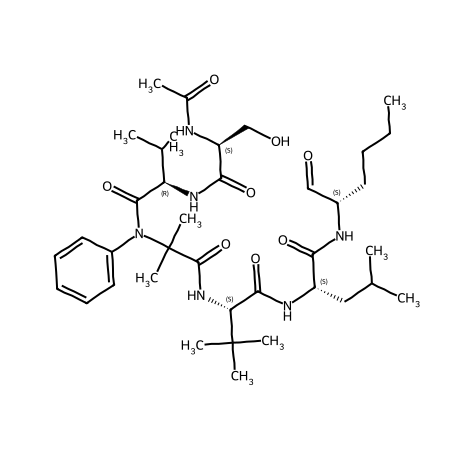 CCCC[C@@H](C=O)NC(=O)[C@H](CC(C)C)NC(=O)[C@@H](NC(=O)C(C)(C)N(C(=O)[C@H](NC(=O)[C@H](CO)NC(C)=O)C(C)C)c1ccccc1)C(C)(C)C